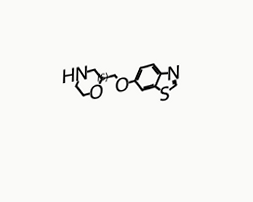 c1nc2ccc(OC[C@@H]3CNCCO3)cc2s1